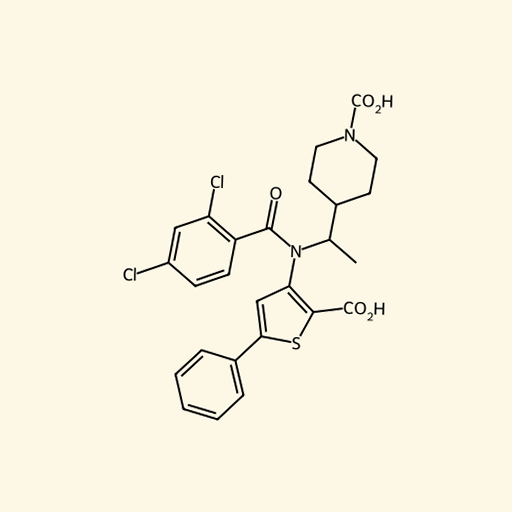 CC(C1CCN(C(=O)O)CC1)N(C(=O)c1ccc(Cl)cc1Cl)c1cc(-c2ccccc2)sc1C(=O)O